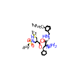 CCSCC(CNS(=O)(=O)CC(C)C)C(=O)O[C@H](CNCc1cccc(OC)c1)[C@@H](N)Cc1ccccc1